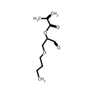 C=C(C)C(=O)OC(C=O)COCCCC